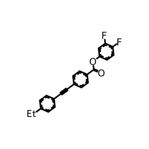 CCc1ccc(C#Cc2ccc(C(=O)Oc3ccc(F)c(F)c3)cc2)cc1